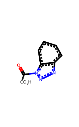 O=C(O)C(=O)n1nnc2ccccc21